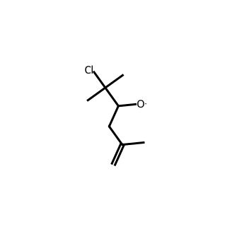 C=C(C)CC([O])C(C)(C)Cl